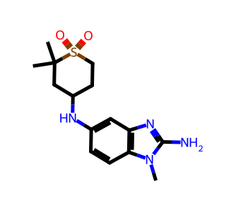 Cn1c(N)nc2cc(NC3CCS(=O)(=O)C(C)(C)C3)ccc21